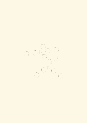 CC1(C)c2ccccc2-c2ccc(N(c3ccc(-c4ccccc4)cc3)c3ccc(C4(c5cccc(N(c6ccccc6)c6ccc(-c7ccccc7)cc6)c5)c5ccccc5-c5ccccc5-c5ccccc54)cc3)cc21